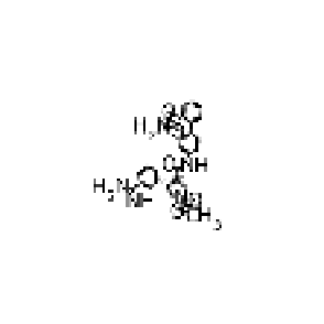 CS(=O)(=O)N1C[C@H](C(=O)Nc2ccc(-c3ccccc3S(N)(=O)=O)cc2)[C@@H](c2cccc(C(=N)N)c2)C1